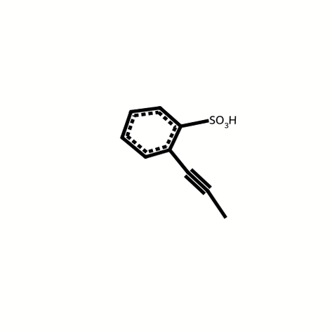 CC#Cc1ccccc1S(=O)(=O)O